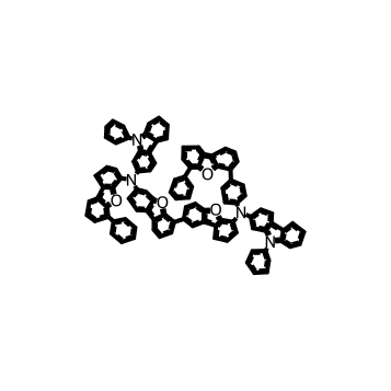 c1ccc(-c2cccc3c2oc2c(-c4ccc(N(c5ccc6c7ccccc7n(-c7ccccc7)c6c5)c5cccc6c5oc5ccc(-c7cccc8c7oc7cc(N(c9ccc%10c%11ccccc%11n(-c%11ccccc%11)c%10c9)c9cccc%10c9oc9c(-c%11ccccc%11)cccc9%10)ccc78)cc56)cc4)cccc23)cc1